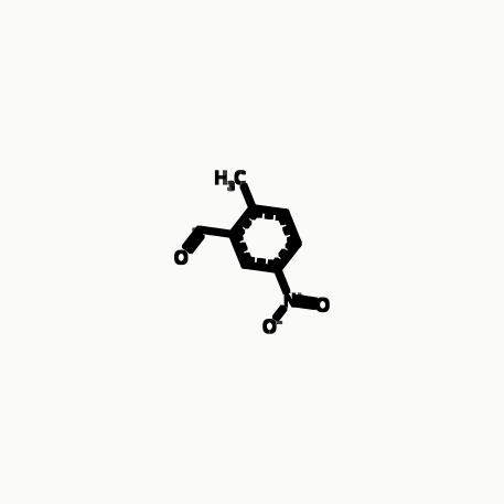 Cc1ccc([N+](=O)[O-])cc1[C]=O